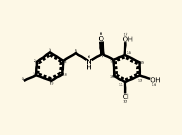 Cc1ccc(CNC(=O)c2cc(Cl)c(O)cc2O)cc1